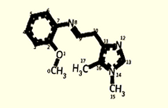 COc1ccccc1N=CCc1ncn(C)c1C